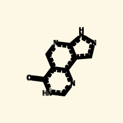 O=c1[nH]cnc2c1cnc1[nH]ncc12